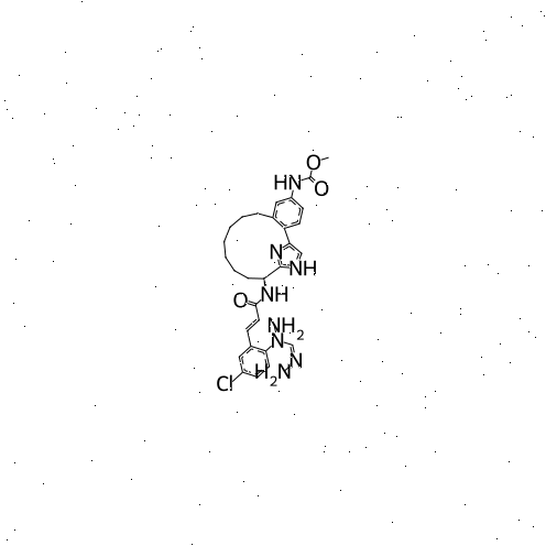 COC(=O)Nc1ccc2c(c1)CCCCCCC[C@H](NC(=O)/C=C/c1cc(Cl)ccc1N(N)/C=N\N)c1nc-2c[nH]1